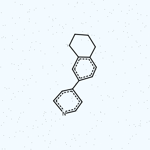 [C]1CCCc2ccc(-c3ccncc3)cc21